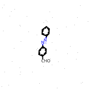 O=Cc1ccc(/N=N/c2ccccc2)cc1